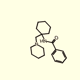 O=C(NC1(CN2CCCCC2)CCCCC1)c1ccccc1